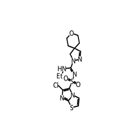 CCN/C(=N\S(=O)(=O)c1c(Cl)nc2sccn12)N1CC2(C=N1)CCOCC2